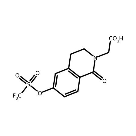 O=C(O)CN1CCc2cc(OS(=O)(=O)C(F)(F)F)ccc2C1=O